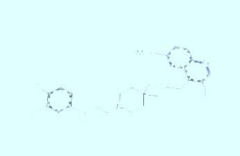 COc1ccc2ncc(F)c(CCCC3(C(=O)O)CCN(CCOc4ccc(F)c(F)c4)CC3)c2c1